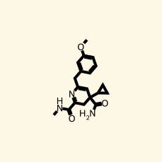 CNC(=O)C1=NC(Cc2cccc(OC)c2)=CC(C(N)=O)(C2CC2)C1